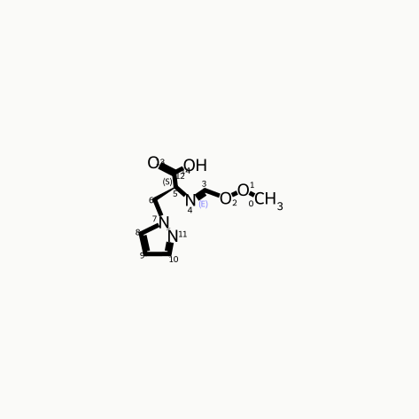 COO/C=N/[C@@H](Cn1cccn1)C(=O)O